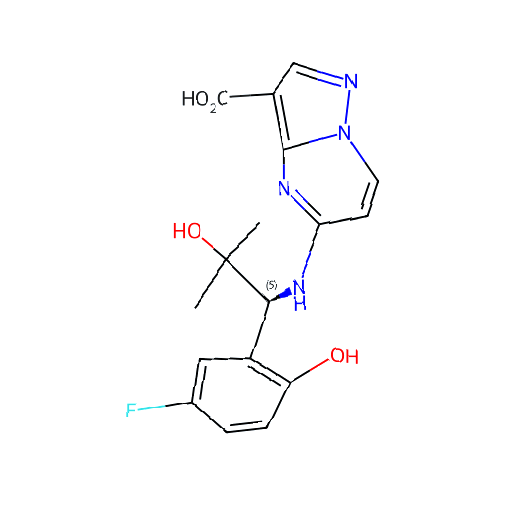 CC(C)(O)[C@@H](Nc1ccn2ncc(C(=O)O)c2n1)c1cc(F)ccc1O